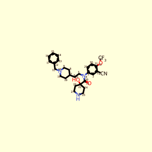 N#Cc1cc(N(CCC2CCN(Cc3ccccc3)CC2)C(=O)C2(O)CCNCC2)ccc1OC(F)(F)F